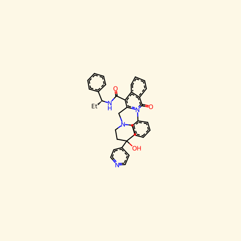 CC[C@H](NC(=O)c1c(CN2CCC(O)(c3ccncc3)CC2)n(-c2ccccc2)c(=O)c2ccccc12)c1ccccc1